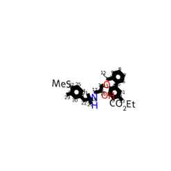 CCOC(=O)c1ccc(-c2ccccc2[C@@H](C)OC[C@H](O)CNC(C)(C)Cc2ccc(SC)c(C)c2)cc1C